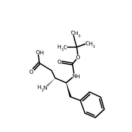 CC(C)(C)OC(=O)N[C@@H](Cc1ccccc1)[C@H](N)CC(=O)O